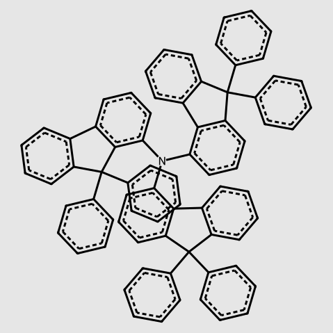 c1ccc(C2(c3ccccc3)c3ccccc3-c3c(N(c4cccc5c4-c4ccccc4C5(c4ccccc4)c4ccccc4)c4cccc5c4C(c4ccccc4)(c4ccccc4)c4ccccc4-5)cccc32)cc1